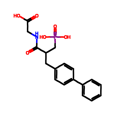 O=C(O)CNC(=O)C(Cc1ccc(-c2ccccc2)cc1)CP(=O)(O)O